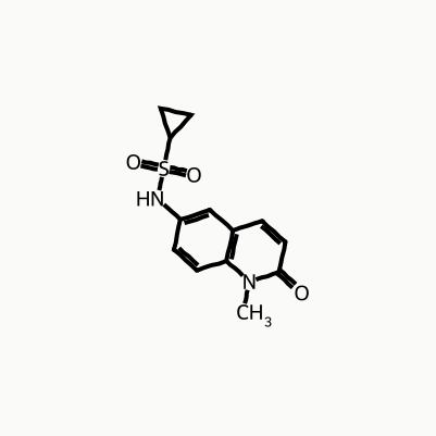 Cn1c(=O)ccc2cc(NS(=O)(=O)C3CC3)ccc21